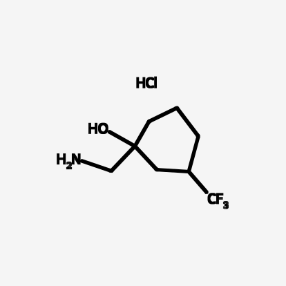 Cl.NCC1(O)CCCC(C(F)(F)F)C1